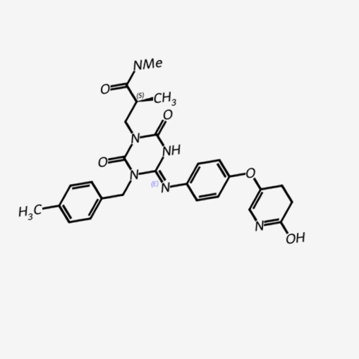 CNC(=O)[C@@H](C)Cn1c(=O)[nH]/c(=N\c2ccc(OC3=CN=C(O)CC3)cc2)n(Cc2ccc(C)cc2)c1=O